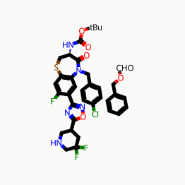 CC(C)(C)OC(=O)N[C@H]1CSc2cc(F)c(-c3noc(C4CNCC(F)(F)C4)n3)cc2N(Cc2ccc(Cl)cc2)C1=O.O=COCc1ccccc1